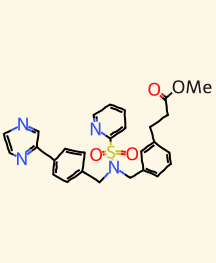 COC(=O)CCc1cccc(CN(Cc2ccc(-c3cnccn3)cc2)S(=O)(=O)c2ccccn2)c1